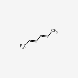 FC(F)(F)/C=C/C=C/C(F)(F)F